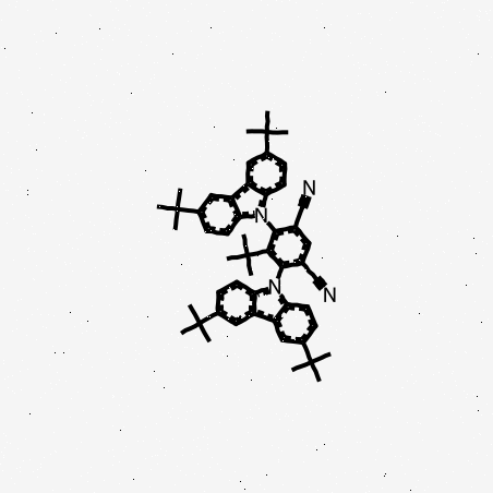 CC(C)(C)c1ccc2c(c1)c1cc(C(C)(C)C)ccc1n2-c1c(C#N)cc(C#N)c(-n2c3ccc(C(C)(C)C)cc3c3cc(C(C)(C)C)ccc32)c1C(C)(C)C